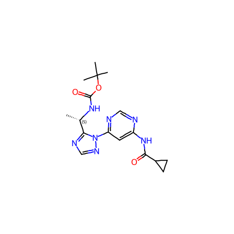 C[C@H](NC(=O)OC(C)(C)C)c1ncnn1-c1cc(NC(=O)C2CC2)ncn1